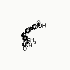 Cc1cc2c(ccn2C2CCN(CC3(F)CCN(C(=O)O)CC3)CC2)cc1N1CCC(=O)NC1=O